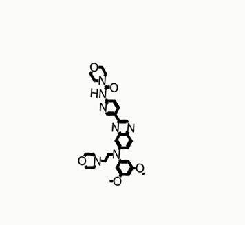 COc1cc(OC)cc(N(CCN2CCOCC2)c2ccc3ncc(-c4ccc(NC(=O)N5CCOCC5)nc4)nc3c2)c1